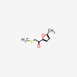 CSCC(=O)c1ccc(C)o1